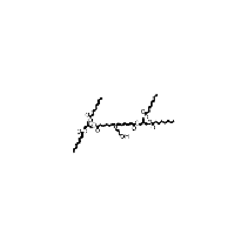 CCCCCCCC(=O)OCC(COC(=O)CCCCCCC)COC(=O)CCCCCN(CCCO)CCCCCC(=O)OCC(COC(=O)CCCCCCC)COC(=O)CCCCCCC